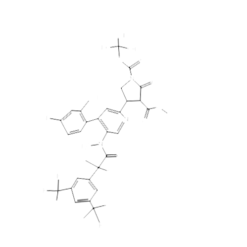 COC(=O)C1C(=O)N(C(=O)OC(C)(C)C)CC1c1cc(-c2ccc(F)cc2C)c(N(C)C(=O)C(C)(C)c2cc(C(F)(F)F)cc(C(F)(F)F)c2)cn1